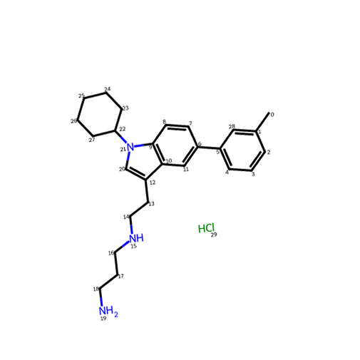 Cc1cccc(-c2ccc3c(c2)c(CCNCCCN)cn3C2CCCCC2)c1.Cl